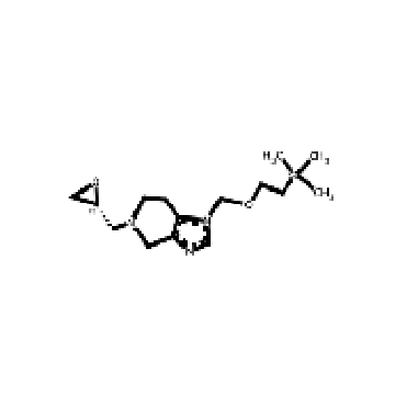 C[Si](C)(C)CCOCn1cnc2c1CCN(C[C@@H]1CO1)C2